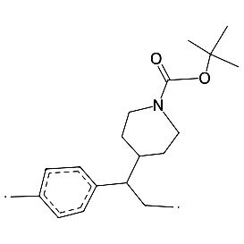 [CH2]CC(c1ccc([CH2])cc1)C1CCN(C(=O)OC(C)(C)C)CC1